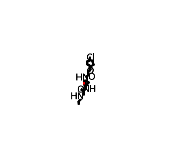 CCCNCC(=O)NC12CC(NC(=O)COc3ccc(Cl)cc3)(C1)C2